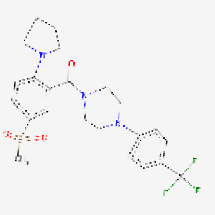 CS(=O)(=O)c1ccc(N2CCCC2)c(C(=O)N2CCN(c3ccc(C(F)(F)F)cc3)CC2)c1